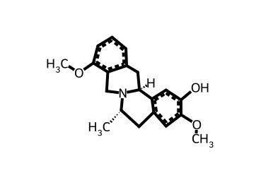 COc1cc2c(cc1O)[C@@H]1Cc3cccc(OC)c3CN1[C@@H](C)C2